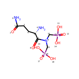 NC(=O)CC[C@H](N)C(=O)N(CP(=O)(O)O)CP(=O)(O)O